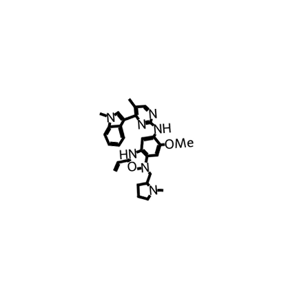 C=CC(=O)Nc1cc(Nc2ncc(C)c(-c3cn(C)c4ccccc34)n2)c(OC)cc1N(C)CC1CCCN1C